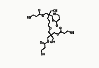 O=C(CCS)OCC(CO)(CCCOCC(CO)(COC(=O)CCS)COC(=O)CCS)COC(=O)CCS